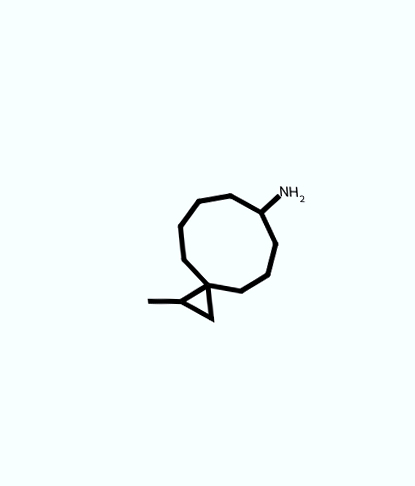 CC1CC12CCCCC(N)CCC2